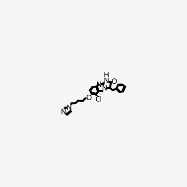 O=C1NC2=Nc3ccc(OCCCCCn4ccnc4)c(Cl)c3CN2C1Cc1ccccc1